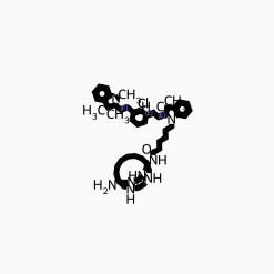 CN1c2ccccc2C(C)(C)C1/C=C/C1=C(Cl)C(=C/C=C2/N(CCCCCC(=O)NC34CCCCCCC(N)(CNCCNC3)CNCCNC4)c3ccccc3C2(C)C)/CCC1